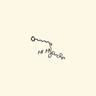 CC(C)C(=O)OCCOC(=O)NCCN(C)CCCCCCCc1ccccc1.I